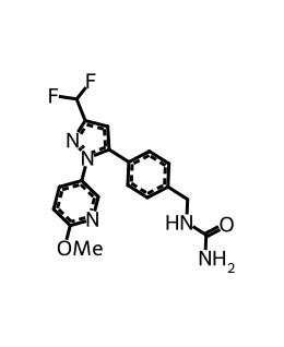 COc1ccc(-n2nc(C(F)F)cc2-c2ccc(CNC(N)=O)cc2)cn1